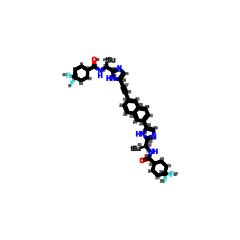 CC(C)(C)C(NC(=O)C1CCC(F)(F)CC1)c1ncc(C#Cc2ccc3cc(-c4cnc([C@@H](NC(=O)C5CCC(F)(F)CC5)C(C)(C)C)[nH]4)ccc3c2)[nH]1